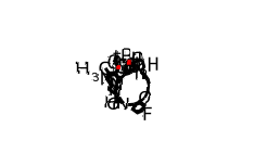 Cc1nc2cc3nn2c(c1[C@H](OC(C)(C)C)C(=O)O)-c1ccc2c(c1Cl)N(CCCCOc1cc(F)ccc1CNC3=O)CCO2